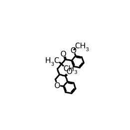 COc1ccccc1C(=O)C(C)(C)CC1COc2ccccc2C1=O